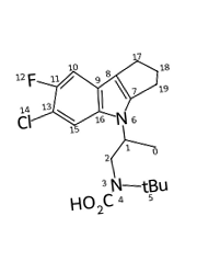 CC(CN(C(=O)O)C(C)(C)C)n1c2c(c3cc(F)c(Cl)cc31)CCC2